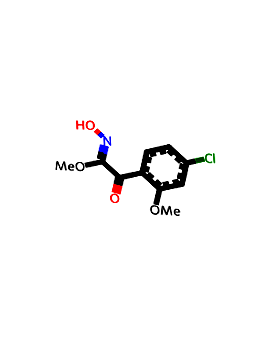 COC(=NO)C(=O)c1ccc(Cl)cc1OC